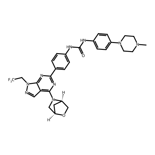 CN1CCN(c2ccc(NC(=O)Nc3ccc(-c4nc(N5C[C@H]6C[C@@H]5CO6)c5cnn(CC(F)(F)F)c5n4)cc3)cc2)CC1